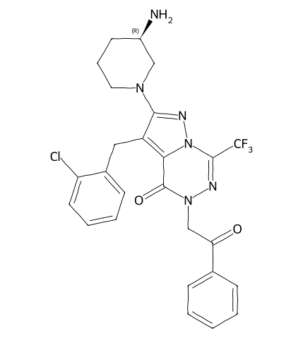 N[C@@H]1CCCN(c2nn3c(C(F)(F)F)nn(CC(=O)c4ccccc4)c(=O)c3c2Cc2ccccc2Cl)C1